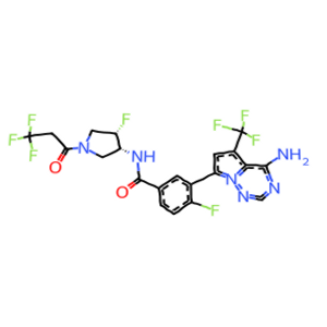 Nc1ncnn2c(-c3cc(C(=O)N[C@@H]4CN(C(=O)CC(F)(F)F)C[C@@H]4F)ccc3F)cc(C(F)(F)F)c12